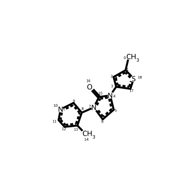 Cc1cc(-n2ccn(-c3cnccc3C)c2=O)cs1